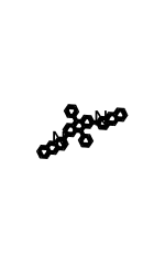 c1ccc(-c2c3ccc(-c4ccc5cc6ccccc6cc5n4)cc3c(-c3ccccc3)c3cc(-c4ccc5cc6ccccc6cc5n4)ccc23)cc1